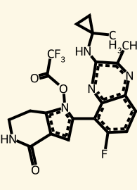 Cc1nc2ccc(F)c(-c3cc4c(n3OC(=O)C(F)(F)F)CCNC4=O)c2nc1NC1(C)CC1